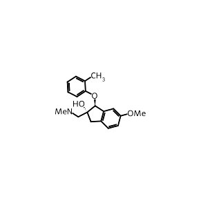 CNC[C@]1(O)Cc2ccc(OC)cc2[C@@H]1Oc1ccccc1C